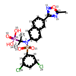 CCC(CC)(N(c1ccc2cc(-c3noc(C)n3)ccc2c1)S(=O)(=O)c1cc(Cl)cc(Cl)c1)P(=O)(O)O